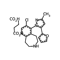 Cc1cc(-c2ccco2)n(-c2c(Cl)ccc3c2CCNCC3)n1.O=C(O)CCC(=O)O